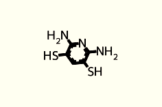 Nc1nc(N)c(S)cc1S